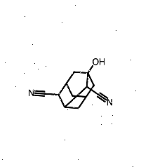 N#CC1C2CC3CC1C(C#N)C(O)(C3)C2